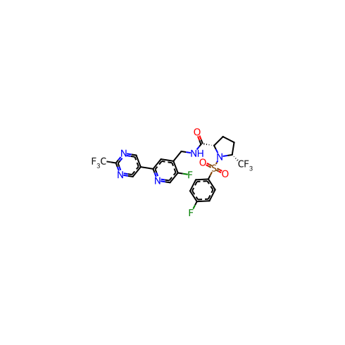 O=C(NCc1cc(-c2cnc(C(F)(F)F)nc2)ncc1F)[C@@H]1CC[C@H](C(F)(F)F)N1S(=O)(=O)c1ccc(F)cc1